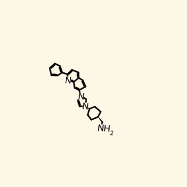 NC[C@H]1CC[C@H](N2C=CN(c3ccc4ccc(-c5ccccc5)nc4c3)C2)CC1